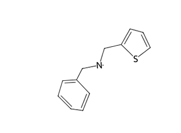 c1ccc(C[N]Cc2cccs2)cc1